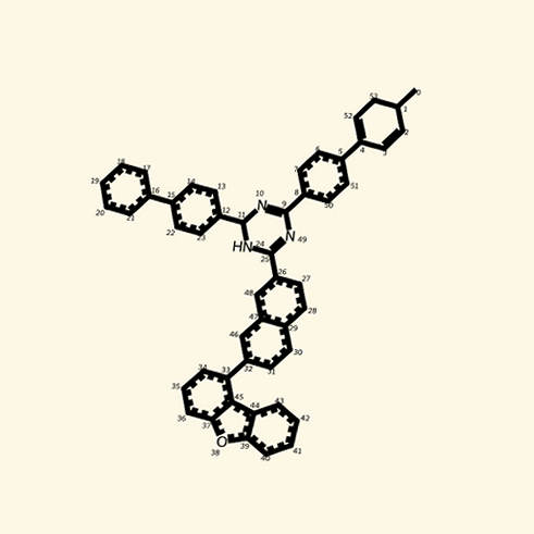 CC1C=CC(c2ccc(C3=NC(c4ccc(-c5ccccc5)cc4)NC(c4ccc5ccc(-c6cccc7oc8ccccc8c67)cc5c4)=N3)cc2)=CC1